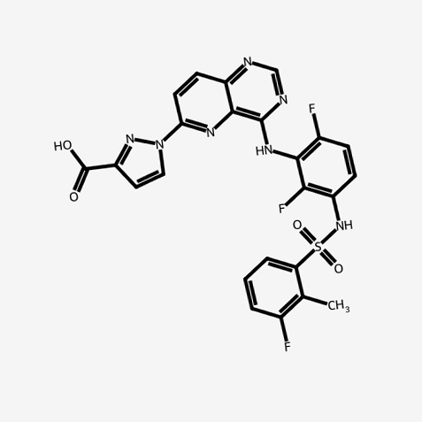 Cc1c(F)cccc1S(=O)(=O)Nc1ccc(F)c(Nc2ncnc3ccc(-n4ccc(C(=O)O)n4)nc23)c1F